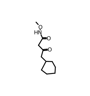 CONC(=O)CC(=O)CC1CCCCC1